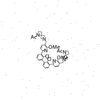 COc1nc(-c2cccc(-c3cccc(-c4ccc(CN5CC6(CCN6C(C)=O)C5)c(OC)n4)c3Cl)c2Cl)ccc1CN1CC2(CCN2C(C)=O)C1